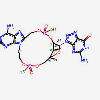 Nc1nc2c(nnn2[C@@H]2O[C@@H]3COP(=O)(S)OCCn4c(nc5c(N)ncnc54)COP(=O)(S)O[C@@H]2[C@@H]3F)c(=O)[nH]1